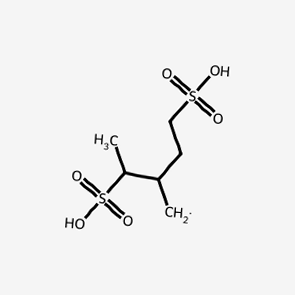 [CH2]C(CCS(=O)(=O)O)C(C)S(=O)(=O)O